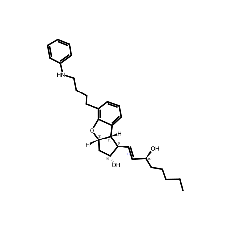 CCCCC[C@H](O)/C=C/[C@@H]1[C@H]2c3cccc(CCCCNc4ccccc4)c3O[C@H]2C[C@H]1O